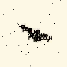 CO[C@H](Cn1c(Cc2ccc(-c3cccc(OCc4ccc(C)cc4F)n3)cc2F)nc2ccc(C(=O)O)cc21)C(N)=O